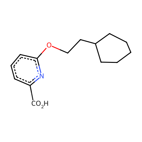 O=C(O)c1cccc(OCCC2CCCCC2)n1